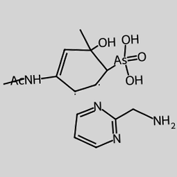 CC.CC(=O)NC1=CC(C)(O)C([As](=O)(O)O)[CH][CH]1.NCc1ncccn1